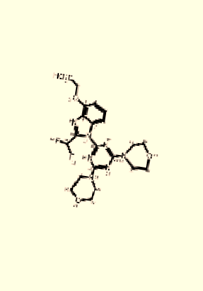 O=C(O)COc1cccc2c1nc(C(F)F)n2-c1nc(N2CCOCC2)nc(N2CCOCC2)n1